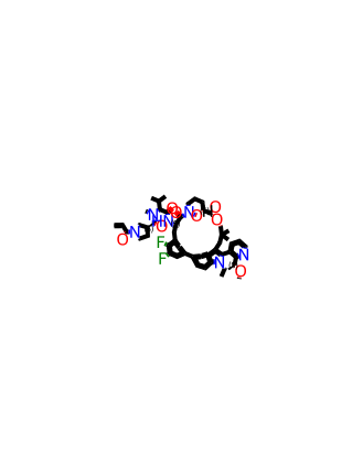 C=CC(=O)N1CC[C@H](C(=O)N(C)C(C(=O)N[C@H]2Cc3cc(cc(F)c3F)-c3ccc4c(c3)c(c(-c3cccnc3[C@H](C)OC)n4CC)CC(C)(C)COC(=O)[C@@H]3CCCN(O3)C2=O)C(C)C)C1